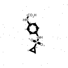 O=C(O)Nc1ccc(NS(=O)(=O)C2CC2)cc1